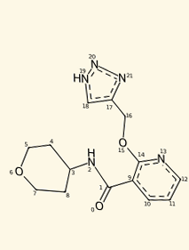 O=C(NC1CCOCC1)c1cccnc1OCc1c[nH]nn1